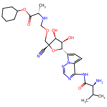 CC(C)[C@H](N)C(=O)Nc1ncnn2c([C@@H]3O[C@](C#N)(COCN[C@@H](C)C(=O)OC4CCCCC4)[C@@H](O)[C@H]3O)ccc12